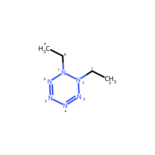 CCN1N=NN=NN1CC